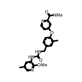 CNC(=O)c1cc(Oc2ccc(CNC(=O)Nc3cc(C)cnc3OC)cc2C)ccn1